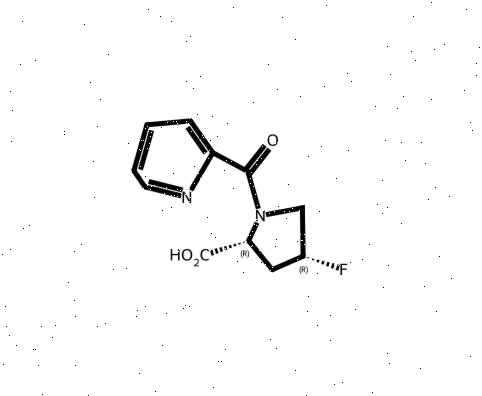 O=C(O)[C@H]1C[C@@H](F)CN1C(=O)c1ccccn1